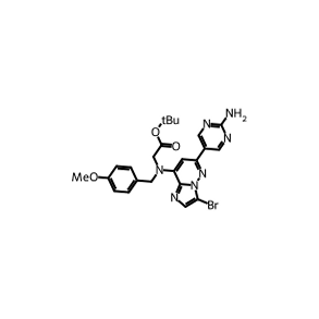 COc1ccc(CN(CC(=O)OC(C)(C)C)c2cc(-c3cnc(N)nc3)nn3c(Br)cnc23)cc1